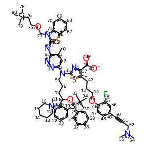 Cc1cc(N(CCCC(C[N+]2(C)CCCCC2)O[Si](c2ccccc2)(c2ccccc2)C(C)(C)C)c2nc(C(=O)[O-])c(CCCOc3ccc(C#CCN(C)C)cc3F)s2)nnc1/N=c1\sc2ccccc2n1COCC[Si](C)(C)C